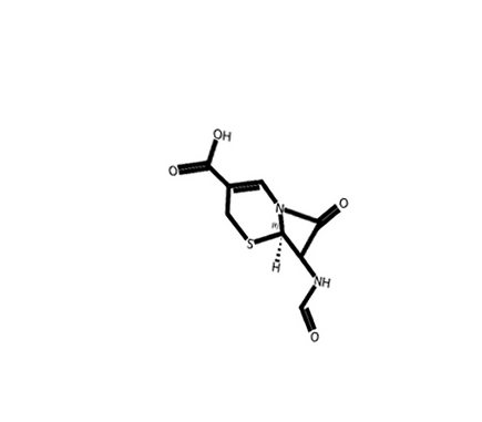 O=CNC1C(=O)N2C=C(C(=O)O)CS[C@H]12